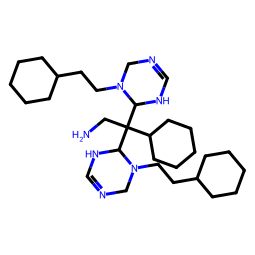 NCC(C1CCCCC1)(C1NC=NCN1CCC1CCCCC1)C1NC=NCN1CCC1CCCCC1